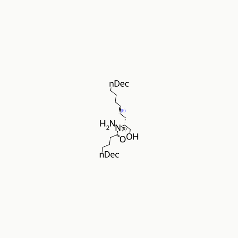 CCCCCCCCCCCCC/C=C/C[C@H](CO)N(N)C(=O)CCCCCCCCCCCCC